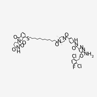 C[C@@H]1CN(C(=O)c2ccc(NC(=O)c3cc(OCCc4c(Cl)ccc(F)c4Cl)c(N)nn3)cc2)C[C@H](C)N1C(=O)CCCCCCCCCCCSc1cccc2c1C(=O)N([C@@H]1CCC(=O)NC1=O)C2=O